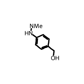 CNNc1ccc(CO)cc1